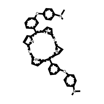 CN(C)c1ccc(Oc2cccc(-c3c4nc(cc5ccc([nH]5)c(-c5cccc(Oc6ccc(N(C)C)cc6)c5)c5nc(cc6ccc3[nH]6)C=C5)C=C4)c2)cc1